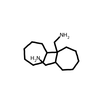 NCC1CCCCCC1(CN)C1CCCCCC1